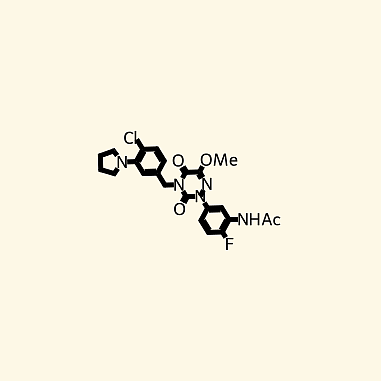 COc1nn(-c2ccc(F)c(NC(C)=O)c2)c(=O)n(Cc2ccc(Cl)c(N3CCCC3)c2)c1=O